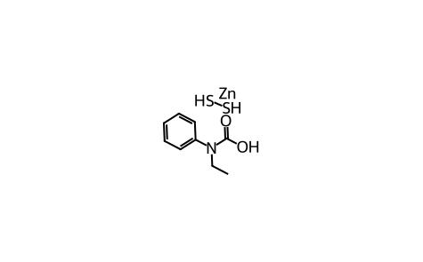 CCN(C(=O)O)c1ccccc1.SS.[Zn]